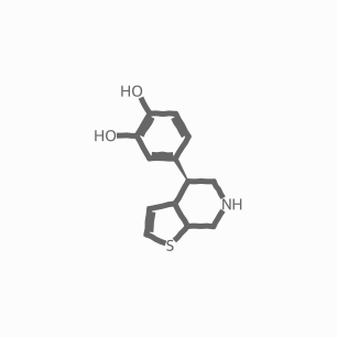 Oc1ccc([C@H]2CNCC3SC=CC32)cc1O